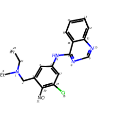 CCN(Cc1cc(Nc2ncnc3ccccc23)cc(Cl)c1N=O)CC(C)C